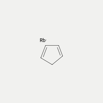 C1=CCC=C1.[Rb]